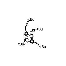 CC(C)(C)OCC#Cc1ccc(C(F)(F)F)c(N2CCC(OC3CC(OC(C)(C)C)C3)C(c3cc(C#CCCCCOC(C)(C)C)cnc3OCCCOC(C)(C)C)C2)c1